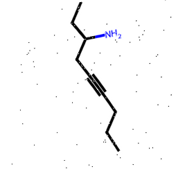 CCCC#CCC(N)CC